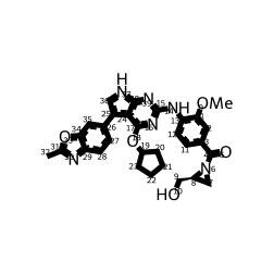 COc1cc(C(=O)N2C[C@H]2CO)ccc1Nc1nc(OC2CCCC2)c2c(-c3ccc4nc(C)oc4c3)c[nH]c2n1